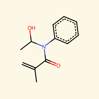 C=C(C)C(=O)N(c1ccccc1)C(C)O